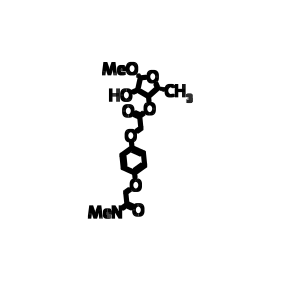 CNC(=O)COc1ccc(OCC(=O)OC2C(O)[C@@H](OC)O[C@H]2C)cc1